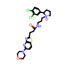 O=C(CCc1nc2nc(N3CCOCC3)ccc2s1)NCCC[N+]1([O-])CCCC1c1ccc(Cl)c(Cl)c1